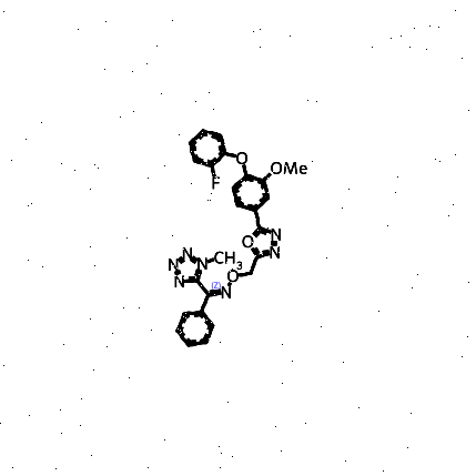 COc1cc(-c2nnc(CO/N=C(/c3ccccc3)c3nnnn3C)o2)ccc1Oc1ccccc1F